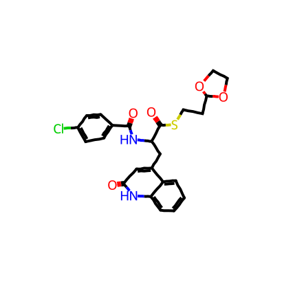 O=C(NC(Cc1cc(=O)[nH]c2ccccc12)C(=O)SCCC1OCCO1)c1ccc(Cl)cc1